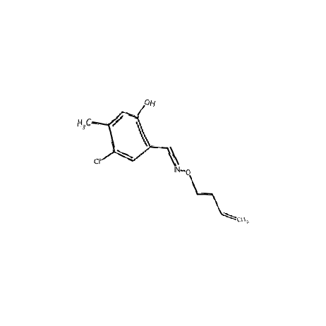 C=CCCON=Cc1cc(Cl)c(C)cc1O